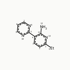 CCc1ccc(-c2ncccn2)c(N)n1